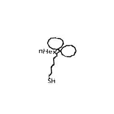 CCCCCCC1(C2(CCCCCCCS)CCCCCCCCC2)CCCCCCCCCC1